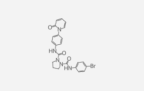 O=C(Nc1ccc(Br)cc1)N1CCCN1C(=O)Nc1ccc(-n2ccccc2=O)cc1